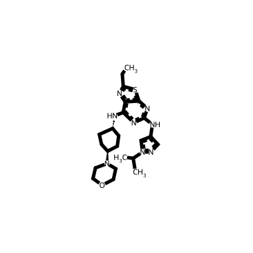 CCc1nc2c(N[C@H]3CC[C@H](N4CCOCC4)CC3)nc(Nc3cnn(C(C)C)c3)nc2s1